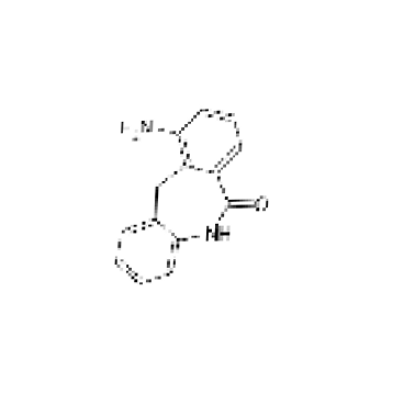 Nc1cccc2c1Cc1ccccc1NC2=O